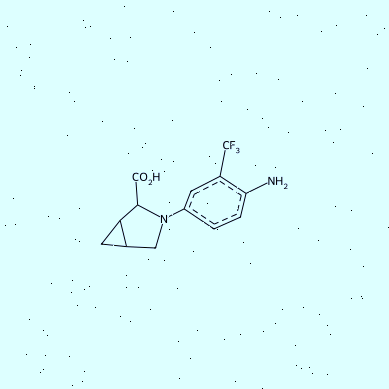 Nc1ccc(N2CC3CC3C2C(=O)O)cc1C(F)(F)F